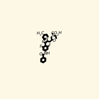 Cc1ccn2c(CC3CN(C(=O)O)CCO3)c(-c3c(F)cc(NC(=O)c4ccccc4)cc3F)nc2c1